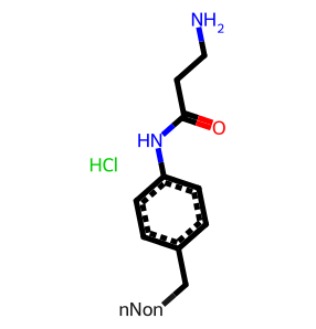 CCCCCCCCCCc1ccc(NC(=O)CCN)cc1.Cl